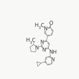 CC1CCCN1c1nc(Nc2cc(C3CC3)ccn2)cc(-c2ccc(=O)n(C)c2)n1